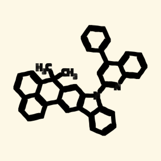 CC1(C)c2cc3c(cc2-c2cccc4cccc1c24)c1ccccc1n3-c1cc(-c2ccccc2)c2ccccc2n1